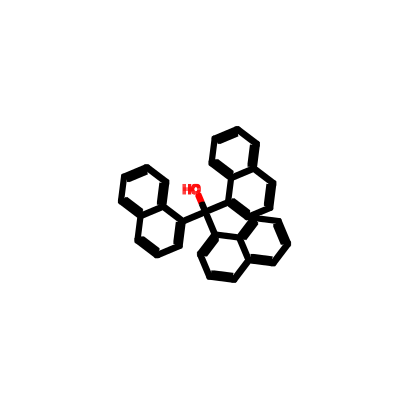 OC(c1cccc2ccccc12)(c1cccc2ccccc12)c1cccc2ccccc12